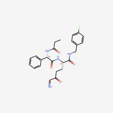 CCC(=O)N[C@H](C(=O)N[C@@H](CCC(=O)C=N)C(=O)NCc1ccc(F)cc1)c1ccccc1